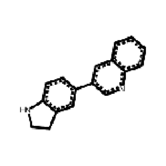 c1ccc2ncc(-c3ccc4c(c3)CCN4)cc2c1